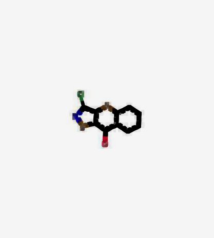 O=c1c2ccccc2sc2c(Cl)nsc12